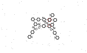 CN(C(=O)c1ccc(-c2ccccn2)cc1)c1cc(-c2ccccc2-c2ccc(-c3cnc(-c4ccc(-c5ccccc5-c5cc(N(C)C(=O)c6ccc(-c7ccccn7)cc6)cc(N(C)C(=O)c6ccc(-c7ccccn7)cc6)c5)cc4)cn3)cc2)cc(N(C)C(=O)c2ccc(-c3ccccn3)cc2)c1